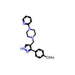 COc1ccc(-c2n[nH]cc2CN2CCN(c3ccccn3)CC2)cc1